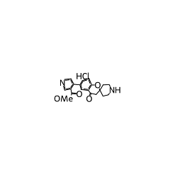 COC(=O)c1cnccc1-c1ccc2c(c1)C(=O)CC1(CCNCC1)O2.Cl